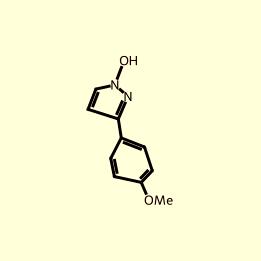 COc1ccc(-c2ccn(O)n2)cc1